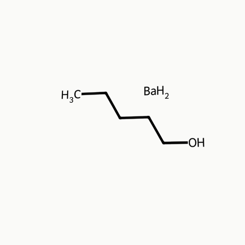 CCCCCO.[BaH2]